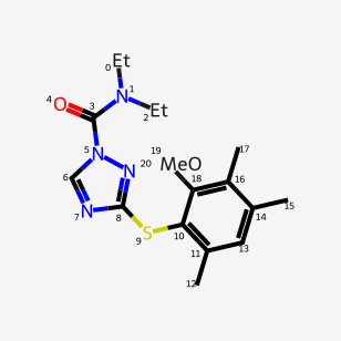 CCN(CC)C(=O)n1cnc(Sc2c(C)cc(C)c(C)c2OC)n1